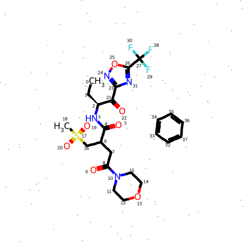 CC[C@H](NC(=O)C(CC(=O)N1CCOCC1)CS(C)(=O)=O)C(=O)c1noc(C(F)(F)F)n1.c1ccccc1